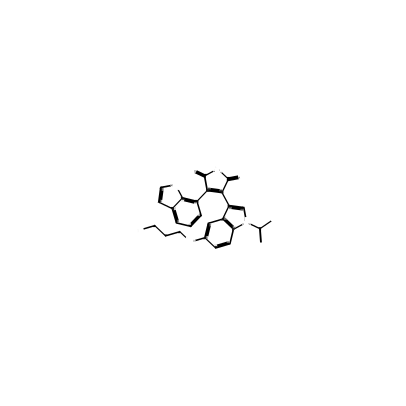 CC(C)n1cc(C2=C(c3cccc4ccoc34)C(=O)NC2=O)c2cc(OCCCBr)ccc21